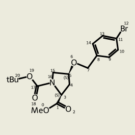 COC(=O)[C@@H]1C[C@H](OCc2ccc(Br)cc2)CN1C(=O)OC(C)(C)C